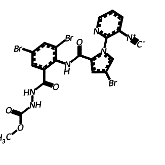 [C-]#[N+]c1cccnc1-n1cc(Br)cc1C(=O)Nc1c(Br)cc(Br)cc1C(=O)NNC(=O)OC